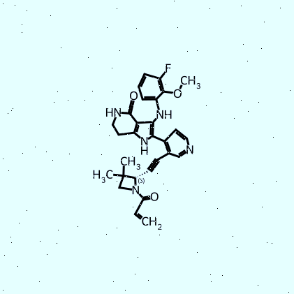 C=CC(=O)N1CC(C)(C)[C@@H]1C#Cc1cnccc1-c1[nH]c2c(c1Nc1cccc(F)c1OC)C(=O)NCC2